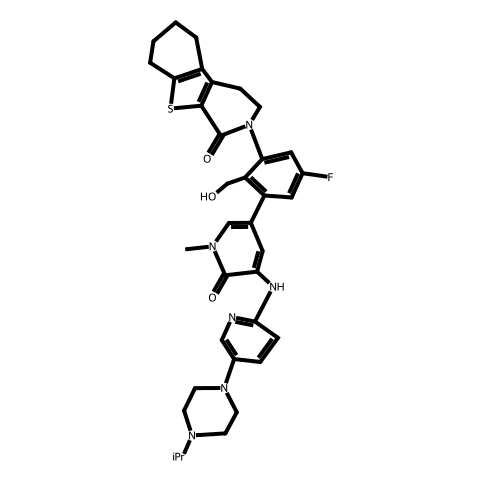 CC(C)N1CCN(c2ccc(Nc3cc(-c4cc(F)cc(N5CCc6c(sc7c6CCCC7)C5=O)c4CO)cn(C)c3=O)nc2)CC1